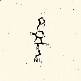 C=C1/C(=N\C=C/CN)Sc2c1ncn(CC1=CCCO1)c2=O